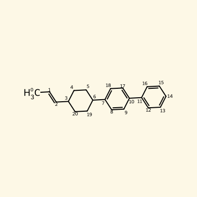 C/C=C/C1CCC(c2ccc(-c3ccccc3)cc2)CC1